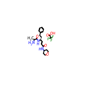 C[C@H](N)C(=O)N[C@H](C=CC(=O)NC1CCOCC1)CCc1ccccc1.O=C(O)C(F)(F)F